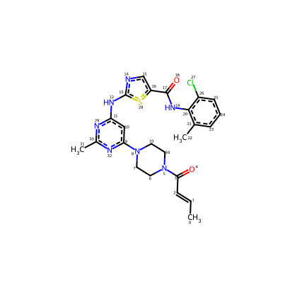 C/C=C/C(=O)N1CCN(c2cc(Nc3ncc(C(=O)Nc4c(C)cccc4Cl)s3)nc(C)n2)CC1